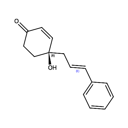 O=C1C=C[C@](O)(C/C=C/c2ccccc2)CC1